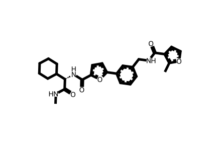 CNC(=O)[C@@H](NC(=O)c1ccc(-c2cccc(CNC(=O)c3ccoc3C)c2)o1)C1CCCCC1